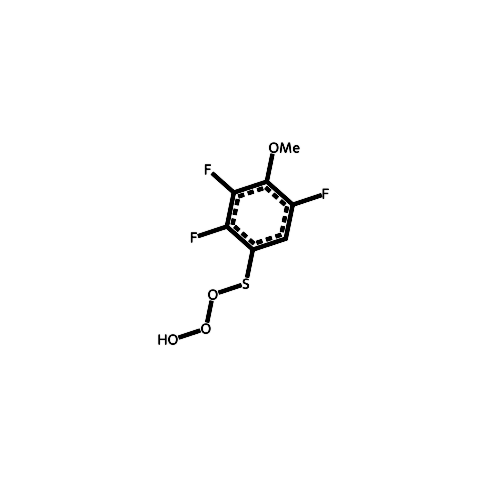 COc1c(F)cc(SOOO)c(F)c1F